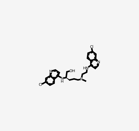 CN(CCC[C@H](CO)Nc1ccnc2cc(Cl)ccc12)CCNc1ccnc2cc(Cl)ccc12